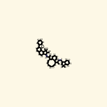 C=C(/C=C\C1=CC(C)(C)c2ccccc21)c1ccccccc(C(=C)/C=C2\C(=C)C(C)(C)c3c2ccc2ccc4c5ccccc5oc4c32)c2ccccc12